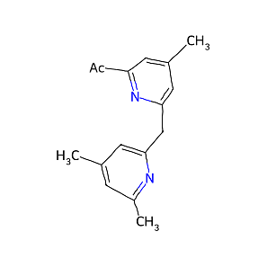 CC(=O)c1cc(C)cc(Cc2cc(C)cc(C)n2)n1